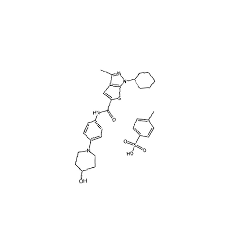 Cc1ccc(S(=O)(=O)O)cc1.Cc1nn(C2CCCCC2)c2sc(C(=O)Nc3ccc(N4CCC(O)CC4)cc3)cc12